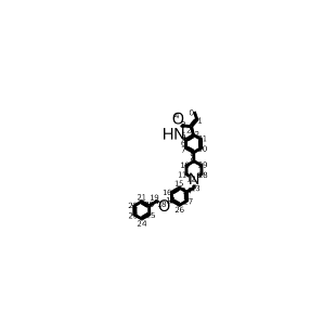 CC=C1C(=O)Nc2cc(C3CCN(Cc4ccc(OCc5ccccc5)cc4)CC3)ccc21